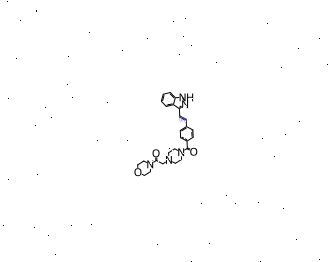 O=C(CN1CCN(C(=O)c2ccc(/C=C/c3n[nH]c4ccccc34)cc2)CC1)N1CCOCC1